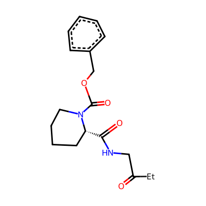 CCC(=O)CNC(=O)[C@@H]1CCCCN1C(=O)OCc1ccccc1